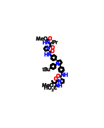 COC(=O)N[C@H](C(=O)N1CCC[C@H]1C(=O)Nc1ccc([C@@H]2CC[C@@H](c3ccc(NC(=O)[C@@H]4CCCN4C(=O)[C@@H](NC(=O)O)[C@@H](C)OC)cc3)N2c2ccc(C(C)(C)C)cc2)cc1)C(C)C